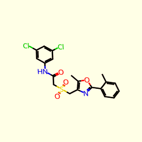 Cc1ccccc1-c1nc(CS(=O)(=O)CC(=O)Nc2cc(Cl)cc(Cl)c2)c(C)o1